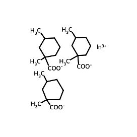 CC1CCCC(C)(C(=O)[O-])C1.CC1CCCC(C)(C(=O)[O-])C1.CC1CCCC(C)(C(=O)[O-])C1.[In+3]